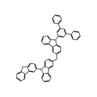 c1ccc(-c2cc(-c3ccccc3)cc(-n3c4ccccc4c4cc(Sc5ccc6c(c5)c5ccccc5n6-c5ccc6sc7ccccc7c6c5)ccc43)c2)cc1